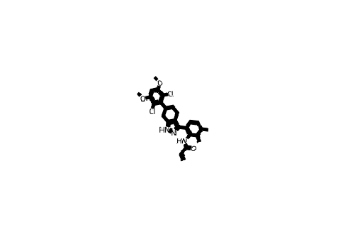 C=CC(=O)NC1=C(c2n[nH]c3c2CCC(c2c(Cl)c(OC)cc(OC)c2Cl)C3)C=CC(C)C1C